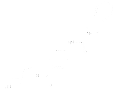 O=C(Nc1ccc(C(=O)N2CCC3(CNC3)C2)cc1)N1Cc2ccccc2C1